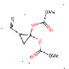 C=CC1CC1(OC(=O)OC)OC(=O)OC